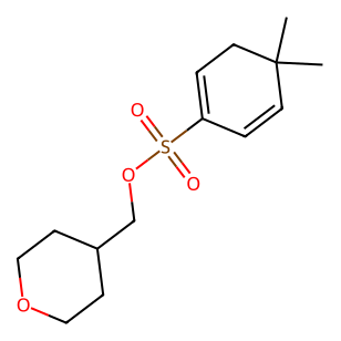 CC1(C)C=CC(S(=O)(=O)OCC2CCOCC2)=CC1